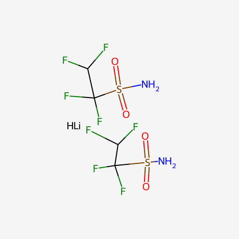 NS(=O)(=O)C(F)(F)C(F)F.NS(=O)(=O)C(F)(F)C(F)F.[LiH]